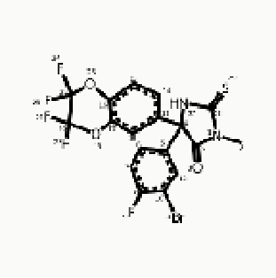 CN1C(=O)C(c2ccc(F)c(Br)c2)(c2ccc3c(c2)OC(F)(F)C(F)(F)O3)NC1=S